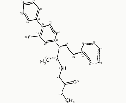 COC(=O)CN[C@H](C)[C@H](CCc1ccccc1)c1ccc(-c2ccccc2)c(F)c1